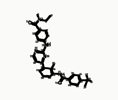 CCN(C)C(=O)c1ccc(Nc2nccc(-c3cccc(NC(=O)c4ccc(C(C)(C)C)cc4)c3C)n2)cc1